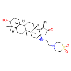 CC(C)C1=C2[C@H]3CC[C@@H]4[C@@]5(C)CCC(O)C(C)(C)[C@@H]5CC[C@@]4(C)[C@]3(C)CC[C@@]2(NCCN2CCS(=O)(=O)CC2)CC1=O